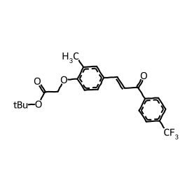 Cc1cc(/C=C/C(=O)c2ccc(C(F)(F)F)cc2)ccc1OCC(=O)OC(C)(C)C